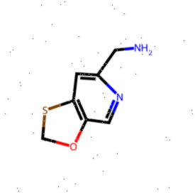 NCc1cc2c(cn1)OCS2